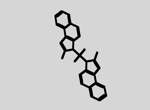 CC1=Cc2c(ccc3ccccc23)C1C(C)(C)C1C(C)=Cc2c1ccc1ccccc21